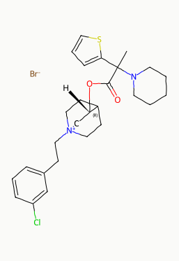 CC(C(=O)O[C@H]1C[N+]2(CCc3cccc(Cl)c3)CCC1CC2)(c1cccs1)N1CCCCC1.[Br-]